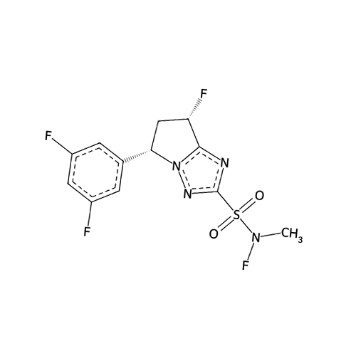 CN(F)S(=O)(=O)c1nc2n(n1)[C@H](c1cc(F)cc(F)c1)C[C@@H]2F